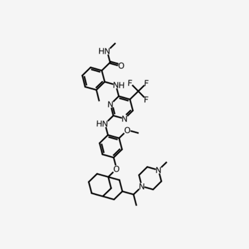 CNC(=O)c1cccc(C)c1Nc1nc(Nc2ccc(OC34CCCC(CC(C(C)N5CCN(C)CC5)C3)C4)cc2OC)ncc1C(F)(F)F